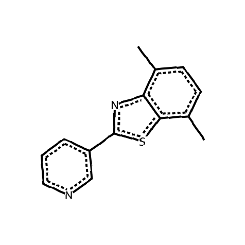 Cc1ccc(C)c2sc(-c3cccnc3)nc12